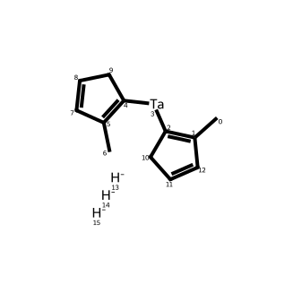 CC1=[C]([Ta][C]2=C(C)C=CC2)CC=C1.[H-].[H-].[H-]